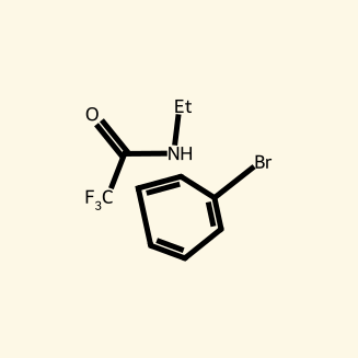 Brc1ccccc1.CCNC(=O)C(F)(F)F